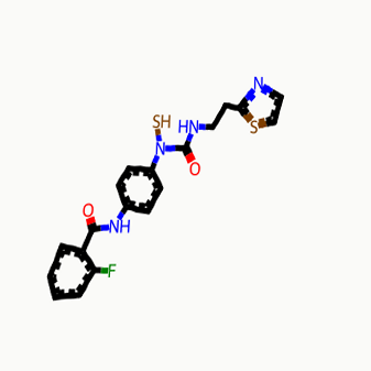 O=C(Nc1ccc(N(S)C(=O)NCCc2nccs2)cc1)c1ccccc1F